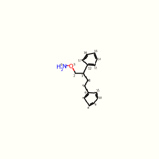 NOCC(CCc1ccccc1)c1ccccc1